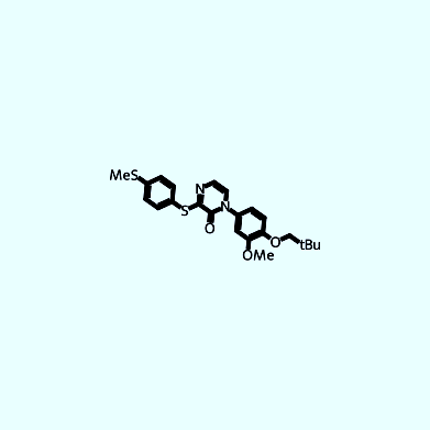 COc1cc(-n2ccnc(Sc3ccc(SC)cc3)c2=O)ccc1OCC(C)(C)C